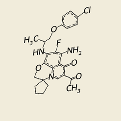 CC(=O)c1cn2c3c(c(NC(C)COc4ccc(Cl)cc4)c(F)c(N)c3c1=O)OCC21CCCC1